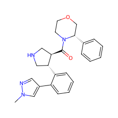 Cn1cc(-c2ccccc2[C@@H]2CNC[C@H]2C(=O)N2CCOC[C@@H]2c2ccccc2)cn1